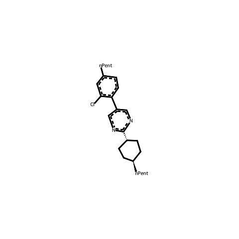 CCCCCc1ccc(-c2cnc([C@H]3CC[C@H](CCCCC)CC3)nc2)c(Cl)c1